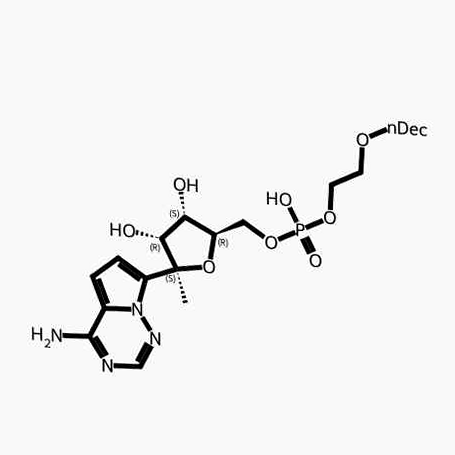 CCCCCCCCCCOCCOP(=O)(O)OC[C@H]1O[C@@](C)(c2ccc3c(N)ncnn23)[C@H](O)[C@@H]1O